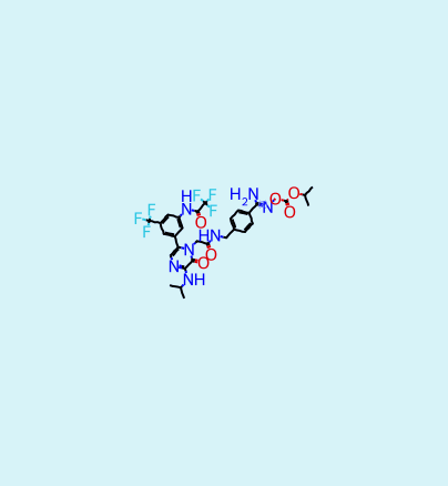 CC(C)Nc1ncc(-c2cc(NC(=O)C(F)(F)F)cc(C(F)(F)F)c2)n(CC(=O)NCc2ccc(/C(N)=N/OC(=O)OC(C)C)cc2)c1=O